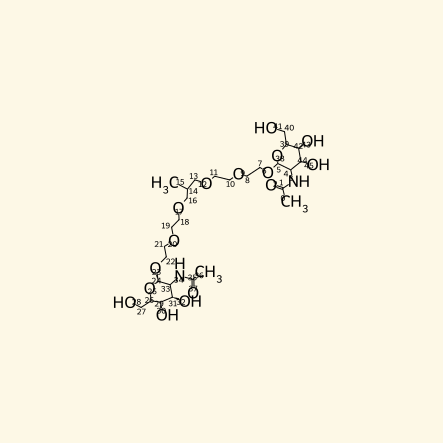 CC(=O)NC1C(OCCOCCOCC(C)COCCOCCO[C@@H]2OC(CO)[C@H](O)[C@H](O)C2NC(C)=O)OC(CO)C(O)C1O